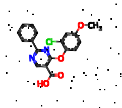 COc1ccc(Oc2nc(-c3ccccc3)ncc2C(=O)O)c(Cl)c1